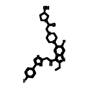 CCc1nc2cc(F)c(N3CCN(CC(=O)N4CC[C@@H](O)C4)CC3)cn2c1NCc1nc(-c2ccc(F)cc2)cs1